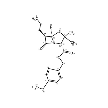 CCC[C@@H]1C(=O)N2[C@@H]1SC(C)(C)[C@@H]2C(=O)OCc1ccc(OC)cc1